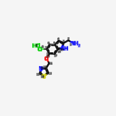 Cl.NCc1cc2cc(Cl)c(OCc3cscn3)cc2[nH]1